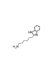 NCCCCCCc1nc2ccccc2[nH]1